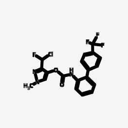 Cn1cc(OC(=O)Nc2ccccc2-c2ccc(C(F)(F)F)cc2)c(C(F)Cl)n1